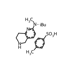 CC[C@@H](C)N(C)c1ccc2c(n1)CCNC2.Cc1ccc(S(=O)(=O)O)cc1